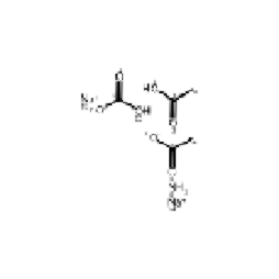 CC(=O)O.CC(=O)[O-].N.O=C([O-])O.[Na+].[Na+]